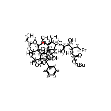 C=C[C@@H]1O[C@H]2C[C@H]3OC[C@@]3(OC(C)=O)[C@H]3[C@H](OC(=O)c4ccccc4)[C@]4(C(C)(C)O)CC(OC(=O)[C@H](O)C(CC(C)C)NC(=O)OC(C)(C)C)C(C)=C4[C@H](C)[C@H](O1)[C@]23C